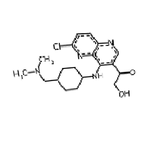 CN(C)CC1CCC(Nc2c(C(=O)CO)cnc3ccc(Cl)nc23)CC1